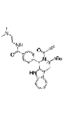 C#CC(=O)N1C(c2ccc(C(=O)NCCN(C)C)cc2)c2[nH]c3ccccc3c2C[C@@H]1CCCC